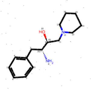 N[C@H](Cc1ccccc1)[C@@H](O)CN1CCCCC1